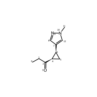 CCC(=O)[C@@H]1C[C@@H]1c1cnn(C)c1